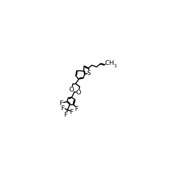 C/C=C/CCc1cc2ccc(C3COC(c4cc(F)c(C(F)(F)F)c(F)c4)OC3)cc2s1